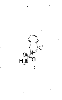 NS(=O)(=O)N1Cc2ccccc2C2(CC2)C1